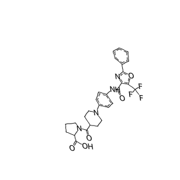 O=C(Nc1ccc(N2CCC(C(=O)N3CCCC3C(=O)O)CC2)cc1)c1nc(-c2ccccc2)oc1C(F)(F)F